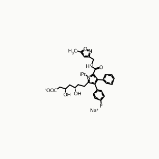 Cc1cc(CNC(=O)c2c(-c3ccccc3)c(-c3ccc(F)cc3)c(CC[C@@H](O)C[C@@H](O)CC(=O)[O-])n2C(C)C)no1.[Na+]